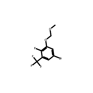 COCOc1cc(Br)cc(C(F)(F)F)c1F